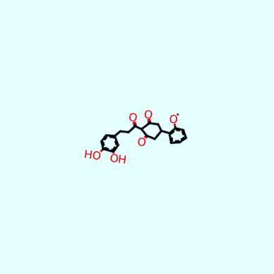 COc1ccccc1C1CC(=O)C(C(=O)CCc2ccc(O)c(O)c2)C(=O)C1